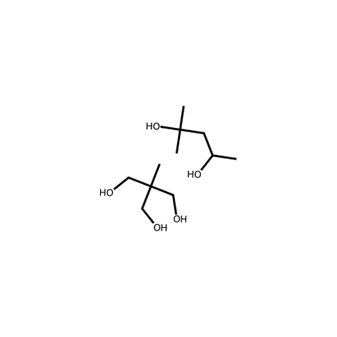 CC(CO)(CO)CO.CC(O)CC(C)(C)O